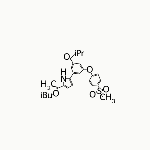 C=C(OC(C)CC)c1ccc(-c2cc(Oc3ccc(S(C)(=O)=O)cc3)cc(C(=O)C(C)C)c2)[nH]1